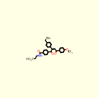 CC(C)(C)Cc1ccc(/C(=C/C(=O)c2ccc(OC(F)(F)F)cc2)C(=O)c2ccc(C(=O)NCCC(=O)O)cc2)cc1